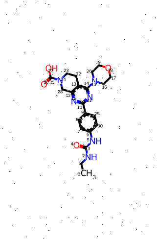 CCNC(=O)Nc1ccc(-c2nc3c(c(N4CCOCC4)n2)CCN(C(=O)O)C3)cc1